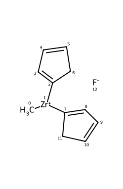 [CH3][Zr+]([C]1=CC=CC1)[C]1=CC=CC1.[F-]